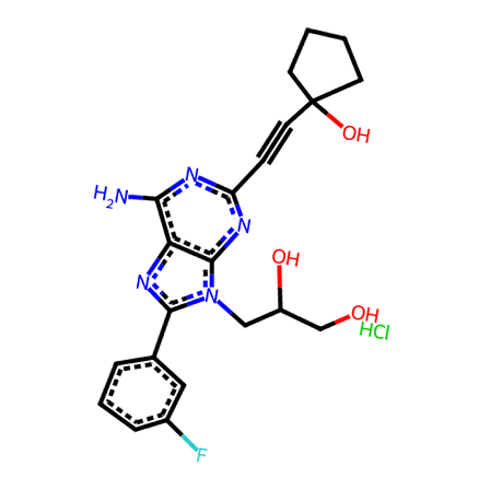 Cl.Nc1nc(C#CC2(O)CCCC2)nc2c1nc(-c1cccc(F)c1)n2CC(O)CO